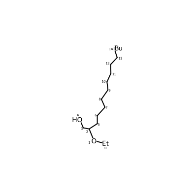 CCOC(CO)CCCCCCCCCC(C)CC